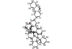 CC1CC=C(c2ccc3sc4ccccc4c3c2)C=C1c1ccc2c(c1Nc1ccccc1)C1(c3ccccc3-c3ccccc31)c1ccccc1-2